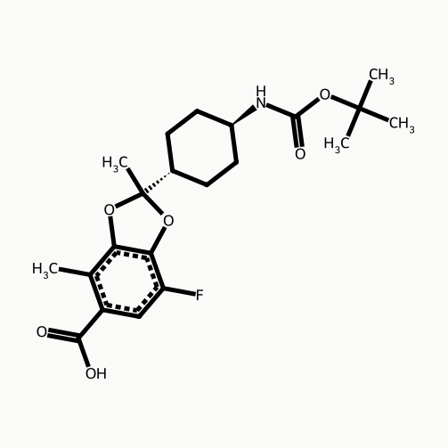 Cc1c(C(=O)O)cc(F)c2c1OC(C)([C@H]1CC[C@H](NC(=O)OC(C)(C)C)CC1)O2